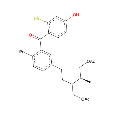 CC(=O)OCC(CCc1ccc(C(C)C)c(C(=O)c2ccc(O)cc2S)c1)[C@H](C)COC(C)=O